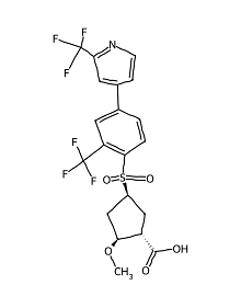 CO[C@H]1C[C@@H](S(=O)(=O)c2ccc(-c3ccnc(C(F)(F)F)c3)cc2C(F)(F)F)C[C@@H]1C(=O)O